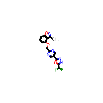 Cc1noc2cccc(OCc3ncc(-c4nnc(C(F)F)o4)cn3)c12